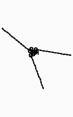 C#CC#CC#CC#CC#CC#CC#CC#CC#CC#CC#CC#COC(=O)CC(O)(CC(=O)OC#CC#CC#CC#CC#CC#CC#CC#CC#CC#CC#CC#C)C(=O)OC#CC#CC#CC#CC#CC#CC#CC#CC#CC#CC#CC#C